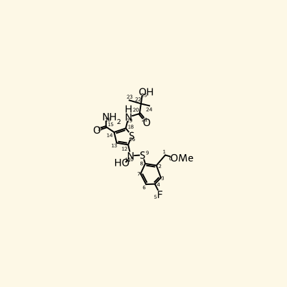 COCc1cc(F)ccc1SN(O)c1cc(C(N)=O)c(NC(=O)C(C)(C)O)s1